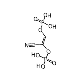 N#C/C(=C\OP(=O)(O)O)OP(=O)(O)O